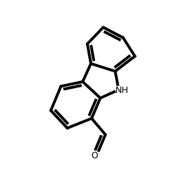 O=Cc1cccc2c1[nH]c1ccccc12